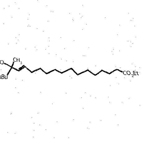 CCCCC(C)(O)C=CCCCCCCCCCCCCC(=O)OCC